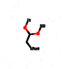 CCCCCCC(OCC)ON=O